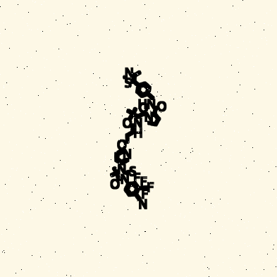 Cc1ncsc1-c1ccc(CNC(=O)C2CCCN2C(=O)C(NC(=O)CCCOc2ccc(N3C(=S)N(c4ccc(C#N)c(C(F)(F)F)c4F)C(=O)C3(C)C)cn2)C(C)(C)C)cc1